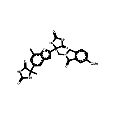 COc1ccc2c(c1)C(=O)N(C[C@@]1(c3cc4cc(C5(C)NC(=O)NC5=O)cc(C)c4o3)NC(=O)NC1=O)C2